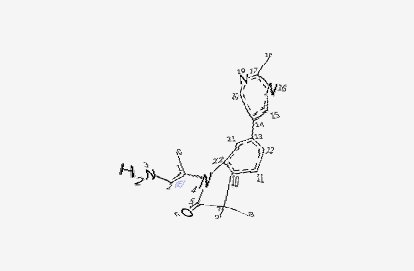 C/C(=C\N)N1C(=O)C(C)(C)c2ccc(-c3cnc(C)nc3)cc21